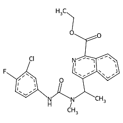 CCOC(=O)c1ncc(C(C)N(C)C(=O)Nc2ccc(F)c(Cl)c2)c2ccccc12